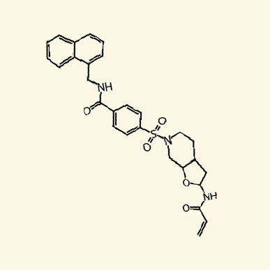 C=CC(=O)NC1CC2CCN(S(=O)(=O)c3ccc(C(=O)NCc4cccc5ccccc45)cc3)CC2O1